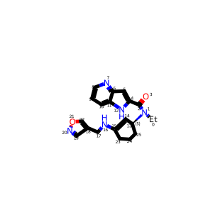 CCN(C(=O)c1cc2ncccc2[nH]1)[C@@H]1C=C(NCc2cnoc2)CCC1